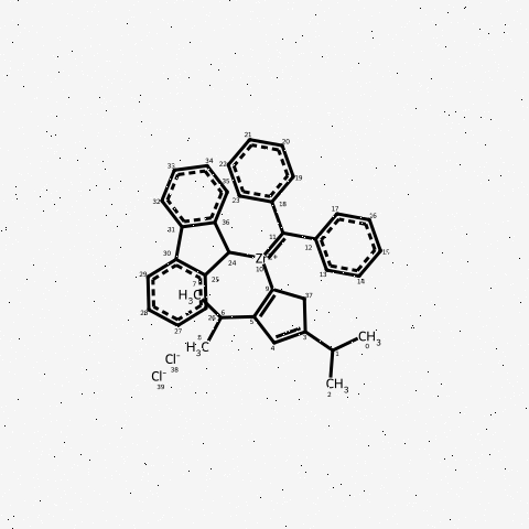 CC(C)C1=CC(C(C)C)=[C]([Zr+2](=[C](c2ccccc2)c2ccccc2)[CH]2c3ccccc3-c3ccccc32)C1.[Cl-].[Cl-]